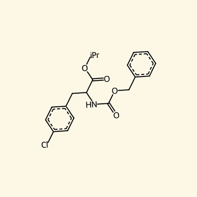 CC(C)OC(=O)C(Cc1ccc(Cl)cc1)NC(=O)OCc1ccccc1